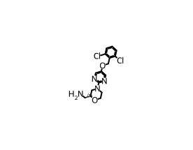 NC[C@H]1CN(c2ncc(OCc3c(Cl)cccc3Cl)cn2)CCO1